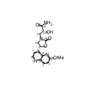 COc1ccc2nccc([C@@H]3CN(C[C@@H](O)C(N)=O)C(=O)O3)c2n1